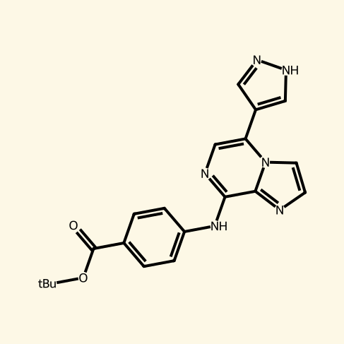 CC(C)(C)OC(=O)c1ccc(Nc2ncc(-c3cn[nH]c3)n3ccnc23)cc1